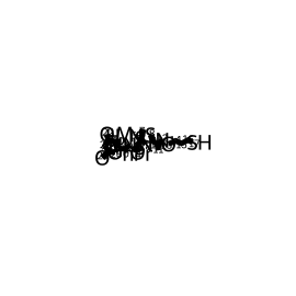 CCC[C@@H](NC(=O)[C@]1(N)CSC(/C(C)=N/OCCCS)=N1)c1cc(OC)cc(=O)o1